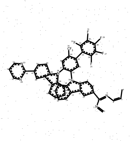 C=N/C(=N\C=C/C)c1ccc2c(c1)c1ccccc1n2-c1cc(-c2c(F)c(F)c(F)c(F)c2F)c(C(F)(F)F)cc1-n1c2ccccc2c2cc(-c3ncccn3)ccc21